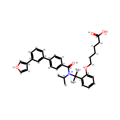 [2H]C([2H])(c1ccccc1OCCCCCC(=O)O)N(C(=O)c1ccc(-c2cccc(-c3ccoc3)c2)cc1)C(C)C